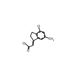 Cc1cc(Cl)c2c(c1)C(=CC(=O)Cl)CC2